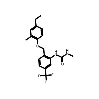 CCc1ccc(OCc2ccc(C(F)(F)F)cc2NC(=O)NC)c(C)c1